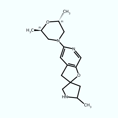 CC1CC2(CN1)Cc1cc(N3C[C@@H](C)O[C@H](C)C3)ncc1O2